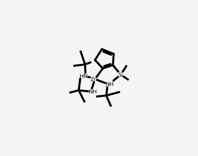 CC(C)(C)[NH][Zr]([NH]C(C)(C)C)([NH]C(C)(C)C)[C]1=C([Si](C)(C)C)C=CC1